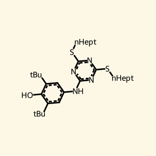 CCCCCCCSc1nc(Nc2cc(C(C)(C)C)c(O)c(C(C)(C)C)c2)nc(SCCCCCCC)n1